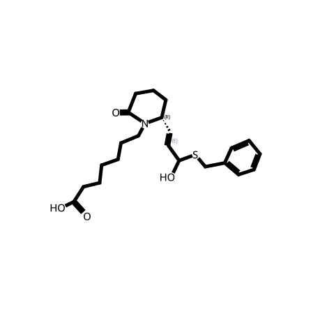 O=C(O)CCCCCCN1C(=O)CCC[C@@H]1/C=C/C(O)SCc1ccccc1